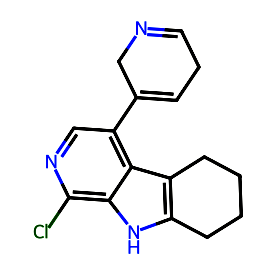 Clc1ncc(C2=CCC=NC2)c2c3c([nH]c12)CCCC3